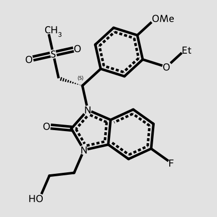 CCOc1cc([C@@H](CS(C)(=O)=O)n2c(=O)n(CCO)c3cc(F)ccc32)ccc1OC